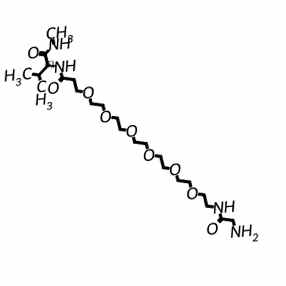 CNC(=O)[C@@H](NC(=O)CCOCCOCCOCCOCCOCCOCCNC(=O)CN)C(C)C